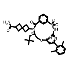 Cc1cccc(C)c1-c1cc2nc(n1)NS(=O)(=O)c1cccc(c1)C(=O)N(C1CC3(CC(C(N)=O)C3)C1)[C@H](CC(C)(C)C)CO2